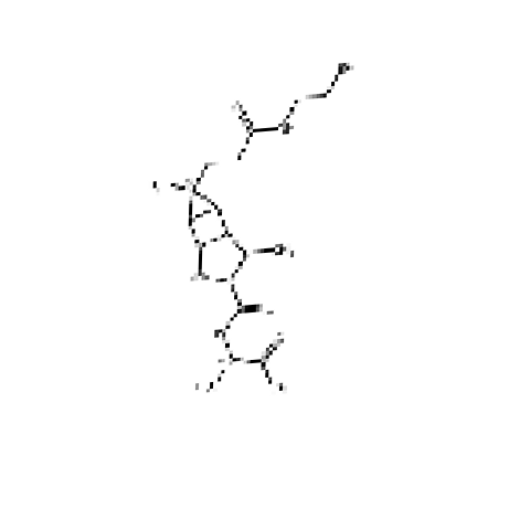 CC(C)CCNC(=O)CC[C@@]1(C)C2C3NC(C(=O)N[C@@H](C)C(=O)C(C)(C)C)C(C)C3C21